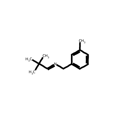 Cc1cccc(C/N=C/C(C)(C)C)c1